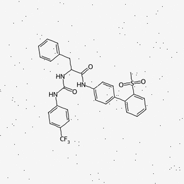 CS(=O)(=O)c1ccccc1-c1ccc(NC(=O)C(Cc2ccccc2)NC(=O)Nc2ccc(C(F)(F)F)cc2)cc1